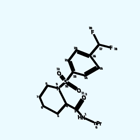 CCCNC(=O)C1CCCCN1S(=O)(=O)c1ccc(C(F)F)cc1